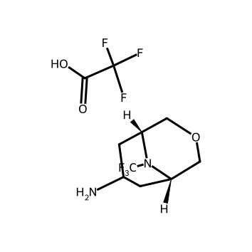 NC1C[C@H]2COC[C@@H](C1)N2C(F)(F)F.O=C(O)C(F)(F)F